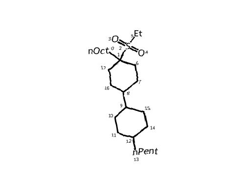 CCCCCCCCC1(S(=O)(=O)CC)CCC(C2CCC(CCCCC)CC2)CC1